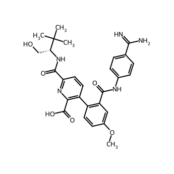 COc1ccc(-c2ccc(C(=O)N[C@H](CO)C(C)(C)C)nc2C(=O)O)c(C(=O)Nc2ccc(C(=N)N)cc2)c1